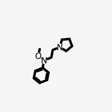 CON(CCN1CCCC1)c1ccccc1